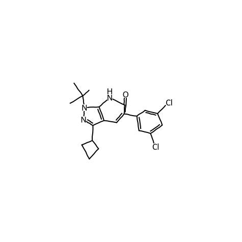 CC(C)(C)n1nc(C2CCC2)c2cc(-c3cc(Cl)cc(Cl)c3)c(=O)[nH]c21